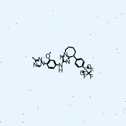 COc1cc(Nc2nc3n(n2)CCCCC3c2ccc(S(=O)(=O)C(F)(F)F)cc2)ccc1-n1cnc(C)n1